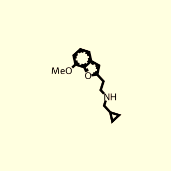 COc1cccc2cc(CCNCC3CC3)oc12